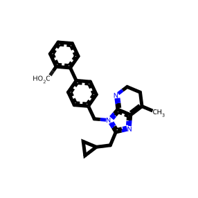 CC1=c2nc(CC3CC3)n(Cc3ccc(-c4ccccc4C(=O)O)cc3)c2=NCC1